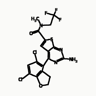 CN(CC(F)(F)F)C(=O)c1cc2c(-c3c(Cl)cc(Cl)c4c3CCO4)nc(N)nc2s1